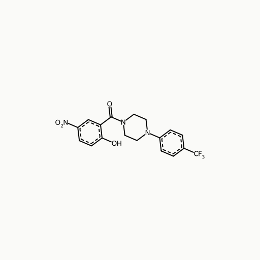 O=C(c1cc([N+](=O)[O-])ccc1O)N1CCN(c2ccc(C(F)(F)F)cc2)CC1